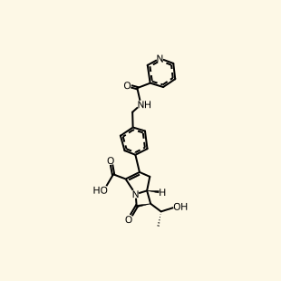 C[C@@H](O)[C@H]1C(=O)N2C(C(=O)O)=C(c3ccc(CNC(=O)c4cccnc4)cc3)C[C@H]12